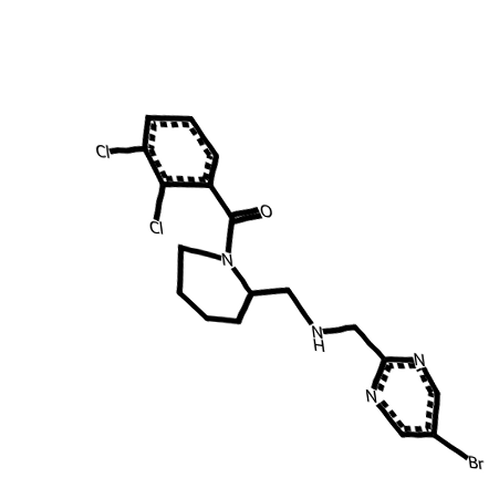 O=C(c1cccc(Cl)c1Cl)N1CCCCC1CNCc1ncc(Br)cn1